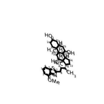 COc1cccc2sc(CCC(C)[C@H]3CC[C@H]4[C@@H]5[C@H](O)C[C@@H]6C[C@H](O)CC[C@]6(C)[C@H]5C[C@H](O)[C@]34C)nc12